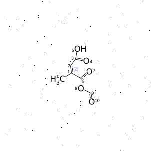 C/C(=C/C(=O)O)C(=O)OC=O